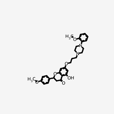 COc1ccc(C2CC(=O)c3c(O)cc(OCCCN4CCN(c5ccccc5OC)CC4)cc3O2)cc1